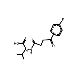 CC(C)[C@H](NC(=O)CCC(=O)c1ccc(F)cc1)C(=O)O